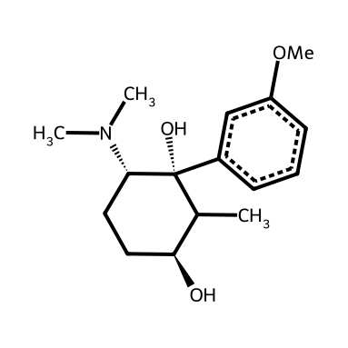 COc1cccc([C@@]2(O)C(C)[C@@H](O)CC[C@@H]2N(C)C)c1